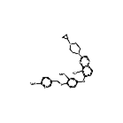 CSc1ccc(CSc2ccc(Nc3ccc4ncc(N5CCN(C6CC6)CC5)nc4c3C#N)cc2SC)cn1